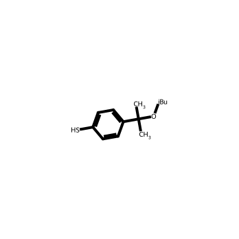 CCC(C)OC(C)(C)c1ccc(S)cc1